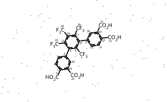 O=C(O)c1ccc(-c2c(C(F)(F)F)c(-c3ccc(C(=O)O)c(C(=O)O)c3)c(C(F)(F)F)c(C(F)(F)F)c2C(F)(F)F)cc1C(=O)O